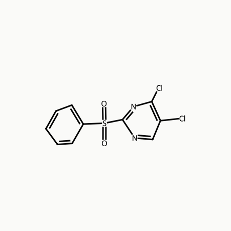 O=S(=O)(c1ccccc1)c1ncc(Cl)c(Cl)n1